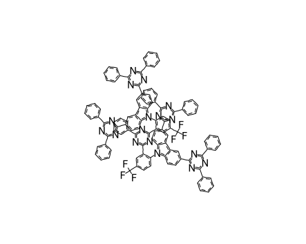 FC(F)(F)c1ccc(-n2c3ccc(-c4nc(-c5ccccc5)nc(-c5ccccc5)n4)cc3c3cc(-c4nc(-c5ccccc5)nc(-c5ccccc5)n4)ccc32)c(-c2nc(-c3ccccc3)nc(-c3cc(C(F)(F)F)ccc3-n3c4ccc(-c5nc(-c6ccccc6)nc(-c6ccccc6)n5)cc4c4cc(-c5nc(-c6ccccc6)nc(-c6ccccc6)n5)ccc43)n2)c1